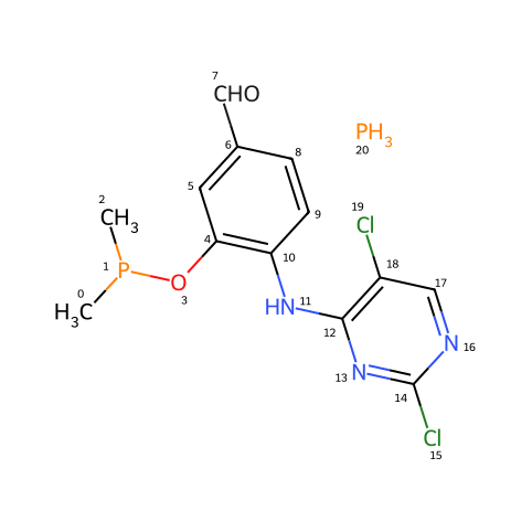 CP(C)Oc1cc(C=O)ccc1Nc1nc(Cl)ncc1Cl.P